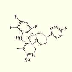 CC1=C(Nc2cc(F)cc(F)c2F)C(C=O)(N2CCC(c3ccc(F)cc3)CC2)CN=C1S